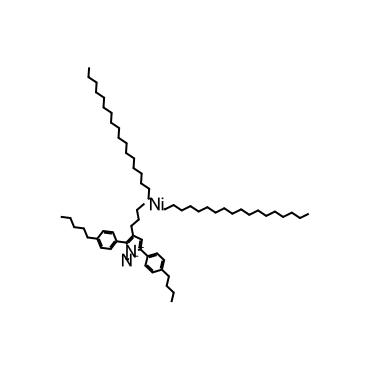 CCCCCCCCCCCCCCCCC[CH2][Ni][CH2]CCCCCCCCCCCCCCCCC.CCCCCc1ccc(C2=C(CCCC)C=C(c3ccc(CCCC)cc3)[N+]2=[N-])cc1